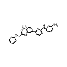 COc1ccc(-c2ccnc(Nc3cccc(N)c3)n2)cc1NC(=O)COc1ccccc1